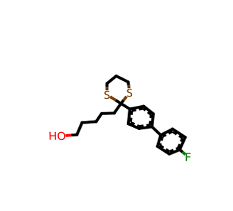 OCCCCCC1(c2ccc(-c3ccc(F)cc3)cc2)SCCCS1